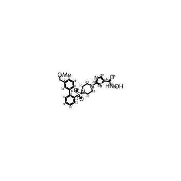 COCc1cccc(-c2ccccc2S(=O)(=O)N2CCN(c3ncc(C(=O)NO)s3)CC2)c1